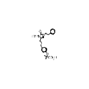 CCCn1c(CCCc2ccc(OC(C)(C)C(=O)O)cc2)cn(CCc2ccccc2)c1=O